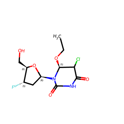 CCO[C@H]1C(Cl)C(=O)NC(=O)N1[C@H]1C[C@H](F)[C@@H](CO)O1